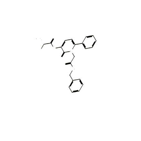 CN[C@@H](C)C(=O)Nc1ccc(-c2ccccc2)n(CC(=O)NCc2ccccc2)c1=O